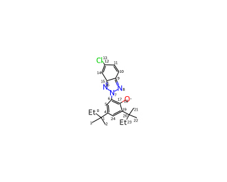 CCC(C)(C)c1cc(-n2nc3ccc(Cl)cc3n2)c([O])c(C(C)(C)CC)c1